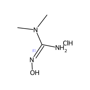 CN(C)/C(N)=N/O.Cl